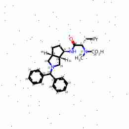 CC(C)C[C@@H](C(=O)N[C@@H]1CC[C@H]2CN(C(c3ccccc3)c3ccccc3)C[C@H]21)N(C)C(=O)O